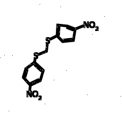 O=[N+]([O-])c1ccc(SCSc2ccc([N+](=O)[O-])cc2)cc1